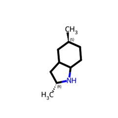 C[C@H]1CCC2N[C@H](C)CC2C1